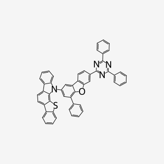 c1ccc(-c2nc(-c3ccccc3)nc(-c3ccc4c(c3)oc3c(-c5ccccc5)cc(-n5c6ccccc6c6ccc7c8ccccc8sc7c65)cc34)n2)cc1